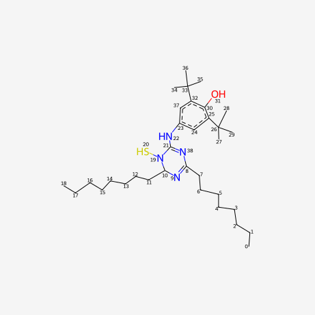 CCCCCCCCC1=NC(CCCCCCCC)N(S)C(Nc2cc(C(C)(C)C)c(O)c(C(C)(C)C)c2)=N1